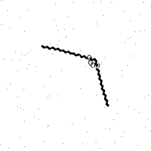 CCCCCCCCCCCCCCCCCCOC(=O)/C=C\C(=O)OCCCCCCCCCCCCCCCC